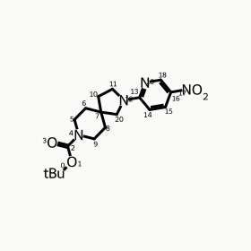 CC(C)(C)OC(=O)N1CCC2(CC1)CCN(c1ccc([N+](=O)[O-])cn1)C2